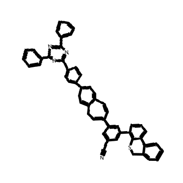 N#Cc1cc(C2=CCC3=CCC(c4ccc(-c5nc(-c6ccccc6)nc(-c6ccccc6)n5)cc4)=CC=C3C=C2)cc(-c2cccc3c2SCc2ccccc2-3)c1